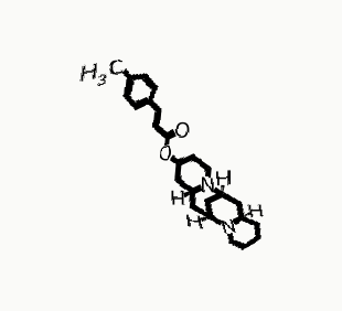 Cc1ccc(/C=C/C(=O)OC2CCN3[C@@H]4C[C@@H](C[C@@H]3C2)N2CCCC[C@@H]2C4)cc1